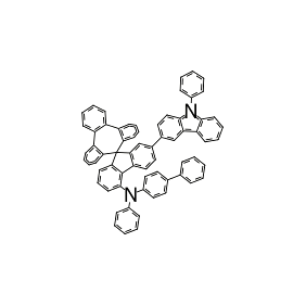 c1ccc(-c2ccc(N(c3ccccc3)c3cccc4c3-c3ccc(-c5ccc6c(c5)c5ccccc5n6-c5ccccc5)cc3C43c4ccccc4-c4ccccc4-c4ccccc43)cc2)cc1